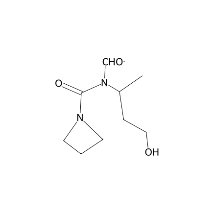 CC(CCO)N([C]=O)C(=O)N1CCC1